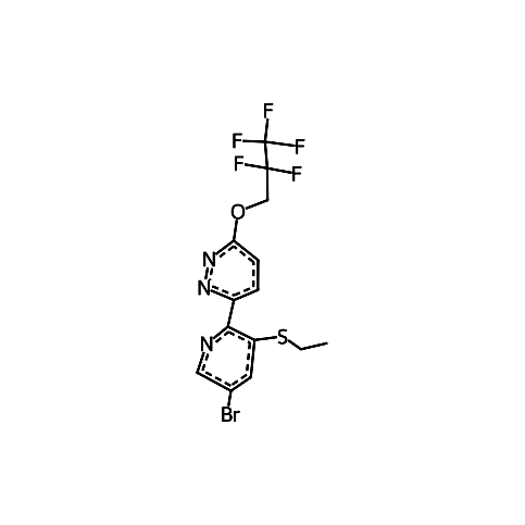 CCSc1cc(Br)cnc1-c1ccc(OCC(F)(F)C(F)(F)F)nn1